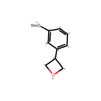 COc1[c]ccc(C2COC2)c1